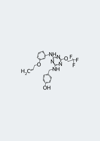 C=CCOc1cccc(Nc2nc(NCc3ccc(O)cc3)nc(OCC(F)(F)F)n2)c1